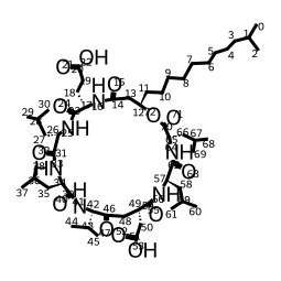 CC(C)CCCCCCCCC[C@@H]1CC(=O)N[C@@H](CCC(=O)O)C(=O)N[C@@H](CC(C)C)C(=O)N[C@H](CC(C)C)C(=O)N[C@@H](C(C)C)C(=O)C[C@@H](CC(=O)O)C(=O)N[C@H](CC(C)C)C(=O)N[C@@H](CC(C)C)C(=O)O1